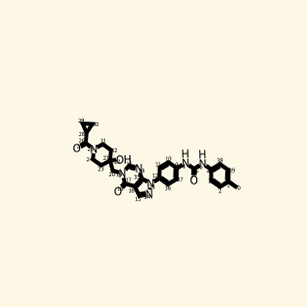 Cc1ccc(NC(=O)Nc2ccc(-n3ncc4c(=O)n(CC5(O)CCN(C(=O)C6CC6)CC5)cnc43)cc2)cc1